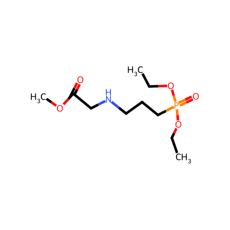 CCOP(=O)(CCCNCC(=O)OC)OCC